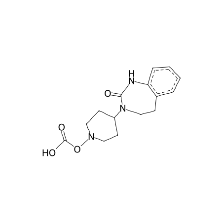 O=C(O)ON1CCC(N2CCc3ccccc3NC2=O)CC1